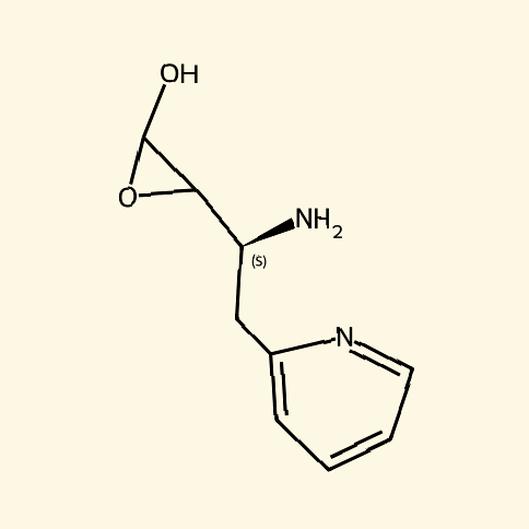 N[C@@H](Cc1ccccn1)C1OC1O